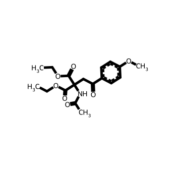 CCOC(=O)C(CC(=O)c1ccc(OC)cc1)(NC(C)=O)C(=O)OCC